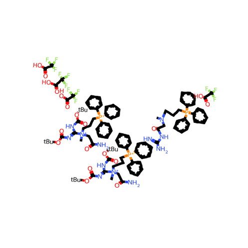 CC(C)(C)OC(=O)/N=C(\NC(=O)OC(C)(C)C)[N+](C)(CCC[P+](c1ccccc1)(c1ccccc1)c1ccccc1)CC(N)=O.CC(C)(C)OC(=O)/N=C(\NC(=O)OC(C)(C)C)[N+](C)(CCC[P+](c1ccccc1)(c1ccccc1)c1ccccc1)CC(N)=O.CN(CCC[P+](c1ccccc1)(c1ccccc1)c1ccccc1)CC(=O)NC(=N)N.O=C(O)C(F)(F)F.O=C(O)C(F)(F)F.O=C(O)C(F)(F)F.O=C(O)C(F)(F)F